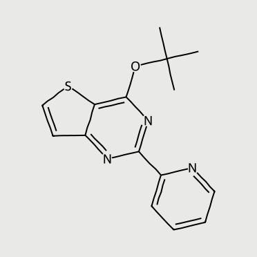 CC(C)(C)Oc1nc(-c2ccccn2)nc2ccsc12